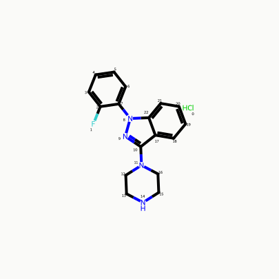 Cl.Fc1ccccc1-n1nc(N2CCNCC2)c2ccccc21